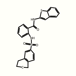 O=C(Nc1cc2ccccc2s1)c1ccccc1NS(=O)(=O)c1ccc2c(c1)CCCC2